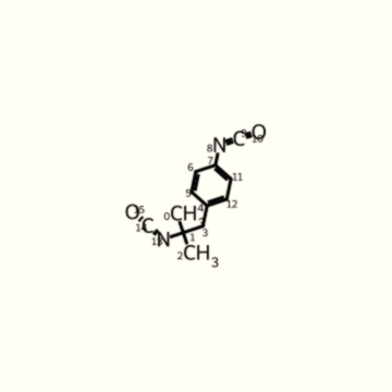 CC(C)(Cc1ccc(N=C=O)cc1)N=C=O